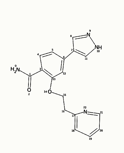 NC(=O)c1ccc(-c2cn[nH]c2)cc1OCCc1ccccn1